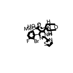 COC(=O)C1=C(CN2[C@@H]3COC[C@H]2C[C@H](CC(=O)O)C3)NC(c2nccs2)=N[C@H]1c1cccc(F)c1Br